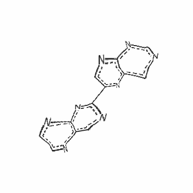 c1cnc2nc(-c3cnc4ncncc4n3)ncc2n1